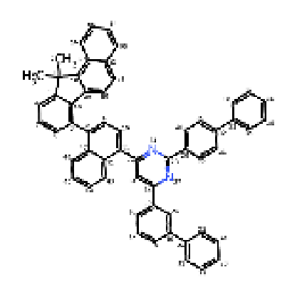 CC1(C)c2cccc(-c3ccc(-c4cc(-c5cccc(-c6ccccc6)c5)nc(-c5ccc(-c6ccccc6)cc5)n4)c4ccccc34)c2-c2ccc3ccccc3c21